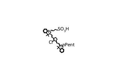 CCCCCN1/C(=C/C=C2\CCC(/C=C/C3=[N+](CCCCS(=O)(=O)O)c4ccccc4C3(C)C)=C2Cl)C(C)(C)c2ccccc21